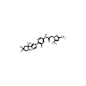 Cc1cc(C(F)(F)F)nn1CC(=O)Nc1cnc(-n2cnc(C3(C)CC(F)(F)CN3)c2)c(F)c1